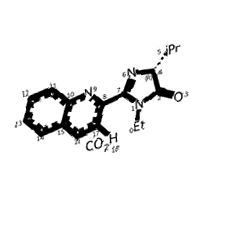 CCN1C(=O)[C@@H](C(C)C)N=C1c1nc2ccccc2cc1C(=O)O